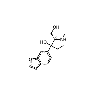 CN[C@H](CO)C(O)(CF)c1ccc2ccoc2c1